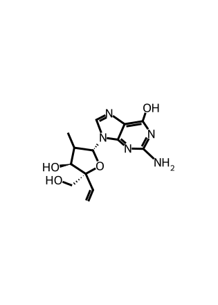 C=C[C@]1(CO)O[C@@H](n2cnc3c(O)nc(N)nc32)C(C)[C@@H]1O